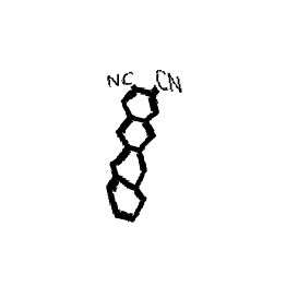 N#Cc1cc2cc3cc4ccccc4cc3cc2cc1C#N